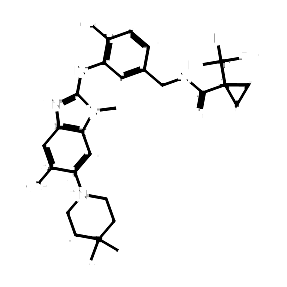 Cn1c(Nc2cc(CNC(=O)C3(C(F)(F)F)CC3)ccc2Cl)nc2cc(Cl)c(N3CCC(C)(C)CC3)cc21